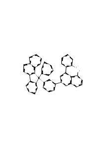 c1ccc(C2(c3cccc(-c4cc5c6c(cccc6c4)Sc4ccccc4-5)c3)c3ccccc3-c3ccc4ccccc4c32)cc1